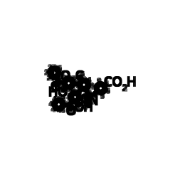 Cc1nc(-c2ccc(C(=O)O)cc2)c(-c2ccc(C(=O)O)c(-c3ccc(C(=O)c4ccccc4)c(O)c3)c2-c2ccc(C(=O)c3ccccc3)c(O)c2)o1